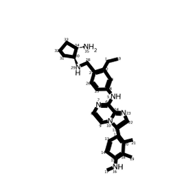 CCc1cc(Nc2nccn3c(-c4ccc(NC)c(C)c4C)cnc23)ccc1CN[C@H]1CCC[C@@H]1N